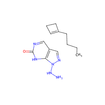 CCCCC1=CCC1.NNn1ncc2cnc(=O)[nH]c21